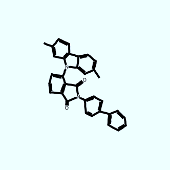 Cc1ccc2c3ccc(C)cc3n(-c3cccc4c3C(=O)N(c3ccc(-c5ccccc5)cc3)C4=O)c2c1